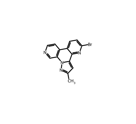 Cc1cc2c3nc(Br)ccc3c3ccncc3n2n1